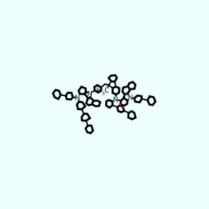 CC1(Cc2ccc(-n3c4cccc(N(c5ccc(-c6ccccc6)cc5)c5ccc(-c6ccc(-c7ccccc7)cc6)cc5)c4c4ccc5ccccc5c43)cc2)c2ccccc2-c2ccc(N(c3ccccc3-c3ccc(-c4ccccc4)cc3)c3cccc4c3c3ccc5ccccc5c3n4-c3ccc(-c4ccccc4)cc3)cc21